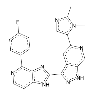 Cc1ncc(-c2cc3c(-c4nc5c(-c6ccc(F)cc6)nccc5[nH]4)n[nH]c3cn2)n1C